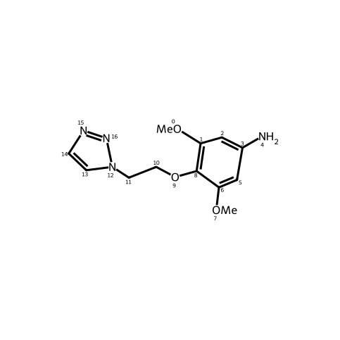 COc1cc(N)cc(OC)c1OCCn1ccnn1